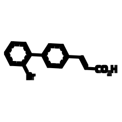 O=C(O)C=Cc1ccc(-c2ccccc2Br)cc1